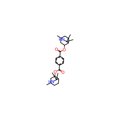 CC12CCC(C(OC(=O)c3ccc(C(=O)OC4CC5(C)CCC4C(C)(C)N5)cc3)C1)C(C)(C)N2